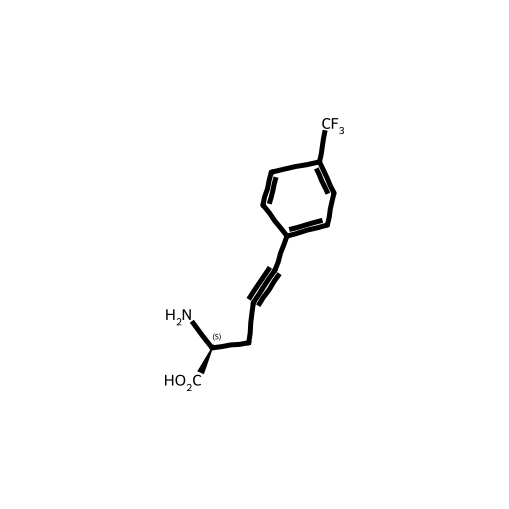 N[C@@H](CC#Cc1ccc(C(F)(F)F)cc1)C(=O)O